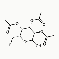 CC(=O)O[C@@H]1[C@H](OC(C)=O)[C@@H](OC(C)=O)C(O)O[C@@H]1CF